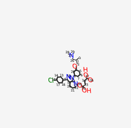 CC(COc1cccc(-n2nc(-c3ccc(Cl)cc3)c3cccnc32)c1)CN(C)C.O=C(O)C=CC(=O)O